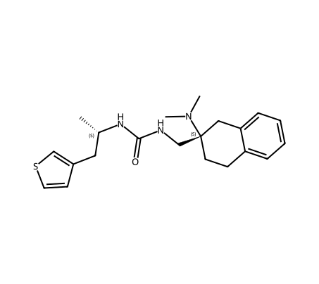 C[C@@H](Cc1ccsc1)NC(=O)NC[C@]1(N(C)C)CCc2ccccc2C1